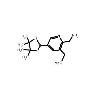 COCc1cc(B2OC(C)(C)C(C)(C)O2)cnc1CN